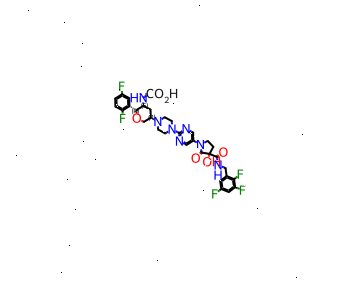 O=C(O)N[C@H]1C[C@@H](N2CCN(c3ncc(N4CCC(O)(C(=O)NCc5cc(F)cc(F)c5F)C4=O)cn3)CC2)CO[C@@H]1c1cc(F)ccc1F